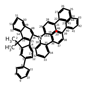 CC1(C)c2cc(-c3ccccc3)ccc2-c2c(N(c3ccc(-c4ccccc4)cc3)c3ccccc3-c3ccc(-c4ccccc4)cc3)cc3ccccc3c21